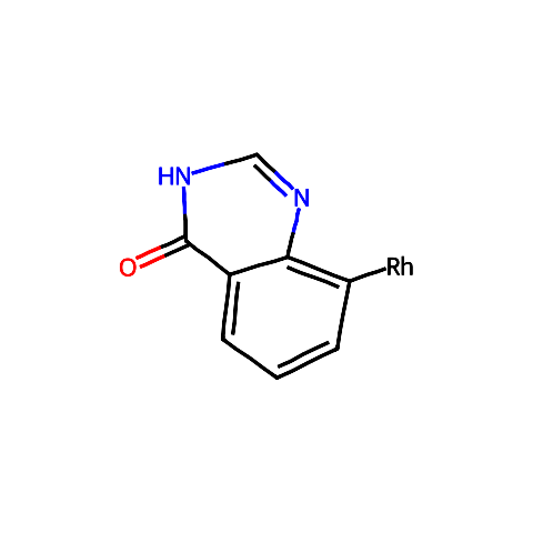 O=c1[nH]cnc2[c]([Rh])cccc12